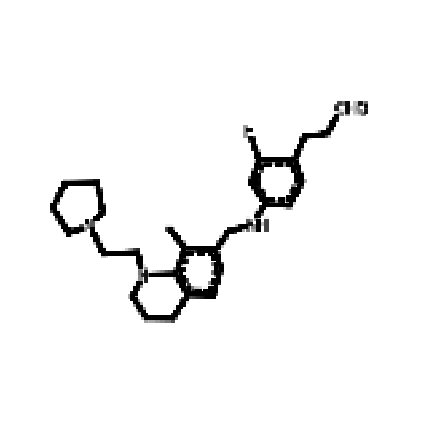 Cc1c(CNc2ccc(CCC=O)c(F)c2)ccc2c1N(CCN1CCCCC1)CCC2